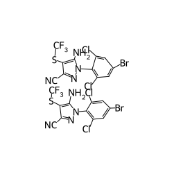 N#Cc1nn(-c2c(Cl)cc(Br)cc2Cl)c(N)c1SC(F)(F)F.N#Cc1nn(-c2c(Cl)cc(Br)cc2Cl)c(N)c1SC(F)(F)F